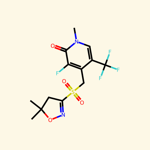 Cn1cc(C(F)(F)F)c(CS(=O)(=O)C2=NOC(C)(C)C2)c(F)c1=O